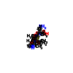 CC[C@H](C)[C@H](NC(=O)[C@H]1CCCCN1)C(=O)N(COC(=O)CC(C)C)[C@H](C[C@@H](OC(C)=O)c1nc(C(=O)N[C@@H](Cc2ccc(N)cc2)CC(C)C(=O)O)cs1)C(C)C